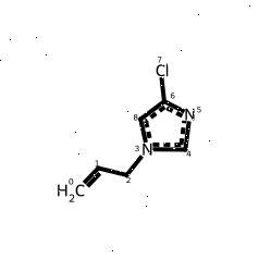 C=CCn1cnc(Cl)c1